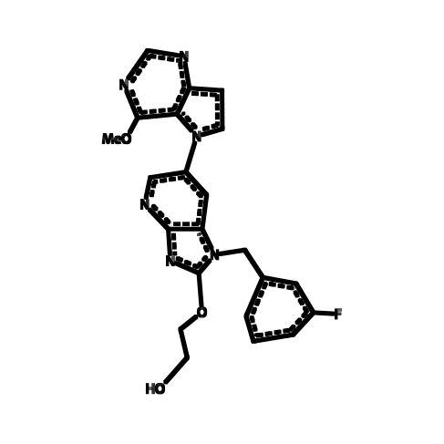 COc1ncnc2ccn(-c3cnc4nc(OCCO)n(Cc5cccc(F)c5)c4c3)c12